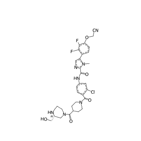 Cn1c(-c2ccc(OCC#N)c(F)c2F)cnc1C(=O)Nc1ccc(C(=O)N2CCC(C(=O)N3CCN[C@@H](CO)C3)CC2)c(Cl)c1